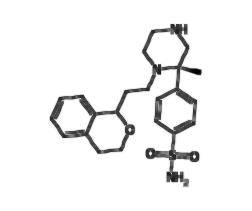 C[C@]1(c2ccc(S(N)(=O)=O)cc2)CNCCN1CCC1OCCc2ccccc21